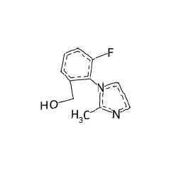 Cc1nccn1-c1c(F)cccc1CO